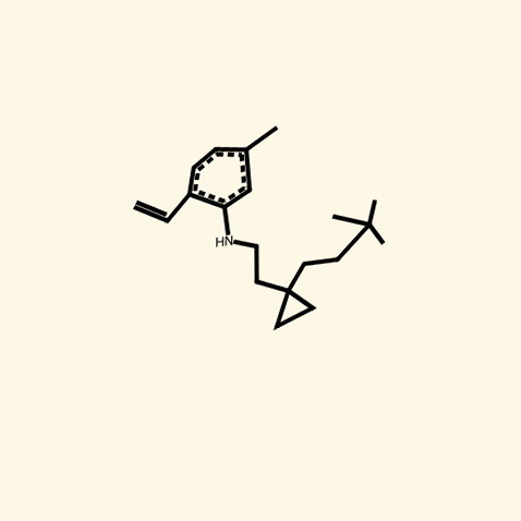 C=Cc1ccc(C)cc1NCCC1(CCC(C)(C)C)CC1